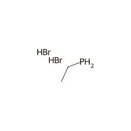 Br.Br.CCP